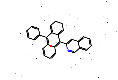 C=C/C(C)=C(/C1=CCCC=C1/C(=C(C)/C=C\C)c1ccccc1)c1cc2ccccc2cn1